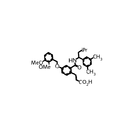 COc1cccc(COc2ccc(CCC(=O)O)c(C(=O)NC(CC(C)C)c3cc(C)cc(C)c3)c2)c1OC